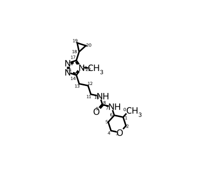 CC1COCCC1NC(=O)NCCCc1nnc(C2CC2)n1C